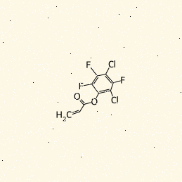 C=CC(=O)Oc1c(F)c(F)c(Cl)c(F)c1Cl